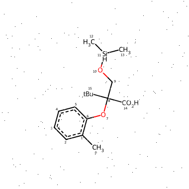 Cc1ccccc1OC(CO[SiH](C)C)(C(=O)O)C(C)(C)C